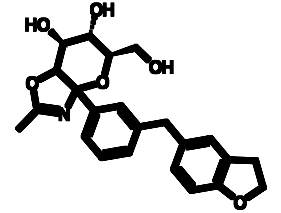 CC1=NC2(c3cccc(Cc4ccc5c(c4)CCO5)c3)O[C@H](CO)[C@@H](O)[C@H](O)C2O1